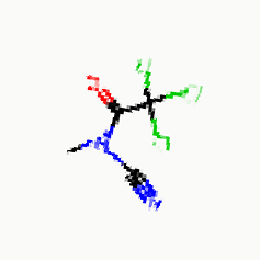 CN(C#N)C(=O)C(Cl)(Cl)Cl